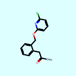 COC(=O)Cc1ccccc1COc1cccc(Cl)n1